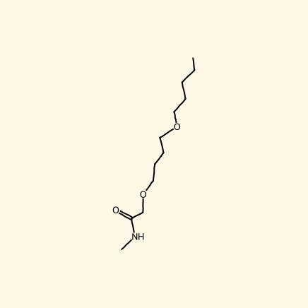 CCCCCOCCCCOCC(=O)NC